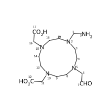 NCN1CCN(CC=O)CCN(CC(=O)O)CCN(CC(=O)O)CC1